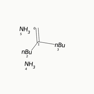 C=C(CCCC)CCCC.N.N